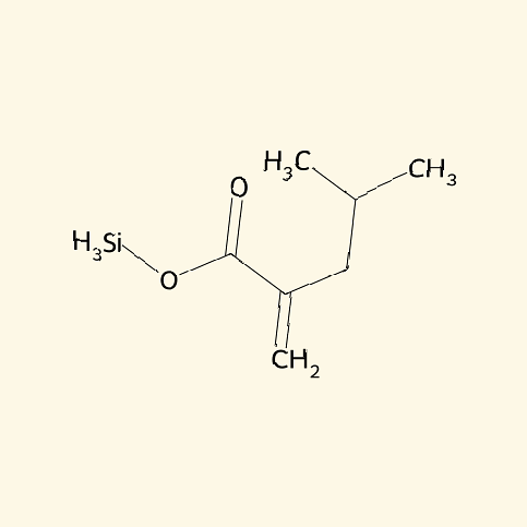 C=C(CC(C)C)C(=O)O[SiH3]